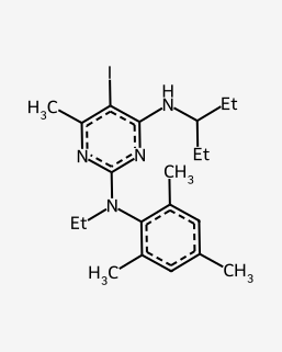 CCC(CC)Nc1nc(N(CC)c2c(C)cc(C)cc2C)nc(C)c1I